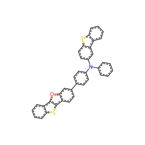 c1ccc(N(c2ccc(-c3ccc4c(c3)oc3c5ccccc5sc43)cc2)c2ccc3sc4ccccc4c3c2)cc1